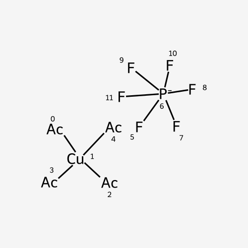 C[C](=O)[Cu]([C](C)=O)([C](C)=O)[C](C)=O.F[P-](F)(F)(F)(F)F